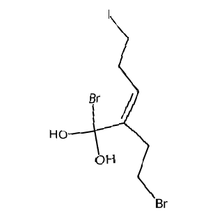 OC(O)(Br)C(=CCCI)CCBr